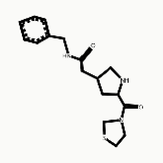 O=C(CC1CNC(C(=O)N2CCSC2)C1)NCc1ccccc1